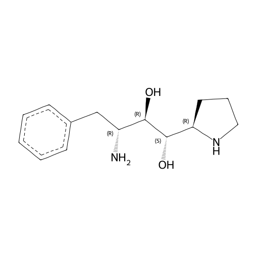 N[C@H](Cc1ccccc1)[C@@H](O)[C@@H](O)[C@H]1CCCN1